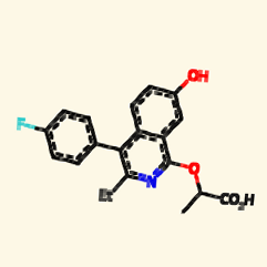 CCc1nc(OC(C)C(=O)O)c2cc(O)ccc2c1-c1ccc(F)cc1